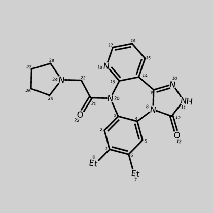 CCc1cc2c(cc1CC)-n1c(n[nH]c1=O)-c1cccnc1N2C(=O)CN1CCCC1